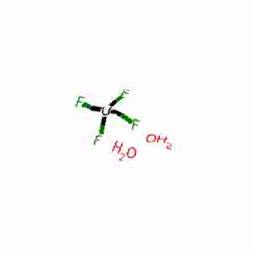 O.O.[F][U]([F])([F])[F]